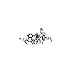 COc1cccc(OC)c1-n1c(NS(=O)(=O)[C@@H](C)[C@@H](OC(C)C)c2cnc(C)cn2)nnc1C1CCCO1